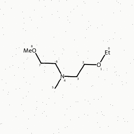 CCOCCN(C)CCOC